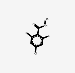 CCCNC(=O)c1c(Cl)cc(Cl)cc1Cl